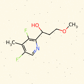 COCCC(O)c1ncc(F)c(C)c1F